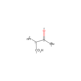 CCCC(C(=O)O)C(=O)C(C)(C)C